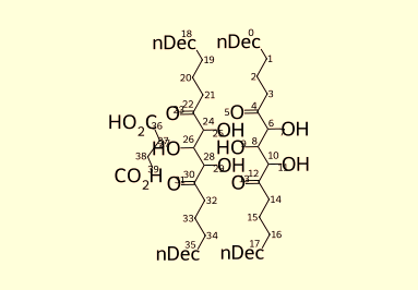 CCCCCCCCCCCCCC(=O)C(O)C(O)C(O)C(=O)CCCCCCCCCCCCC.CCCCCCCCCCCCCC(=O)C(O)C(O)C(O)C(=O)CCCCCCCCCCCCC.O=C(O)CCC(=O)O